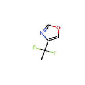 CC(F)(F)c1co[c]n1